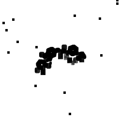 Cc1nccn1-c1cccc(NC(=O)NCc2ccc3c(c2)CN(C2CCC(=O)NC2=O)C3=O)c1